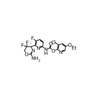 CCOc1cnc(OC(=O)Nc2ccc(F)c([C@@]3(C)N=C(N)OCC3(F)F)n2)c(Cl)c1